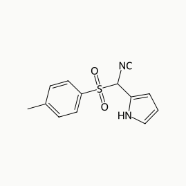 [C-]#[N+]C(c1ccc[nH]1)S(=O)(=O)c1ccc(C)cc1